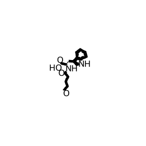 O=CCCCC(=O)N[C@@H](Cc1c[nH]c2ccccc12)C(=O)O